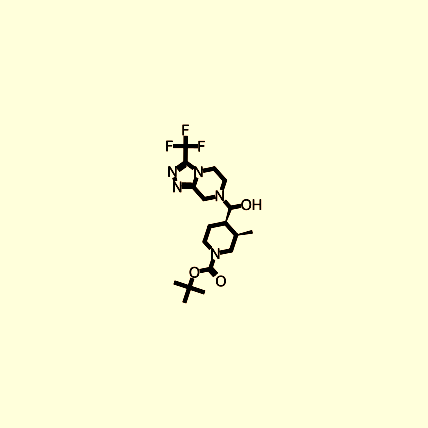 C[C@H]1CN(C(=O)OC(C)(C)C)CC[C@H]1C(O)N1CCn2c(nnc2C(F)(F)F)C1